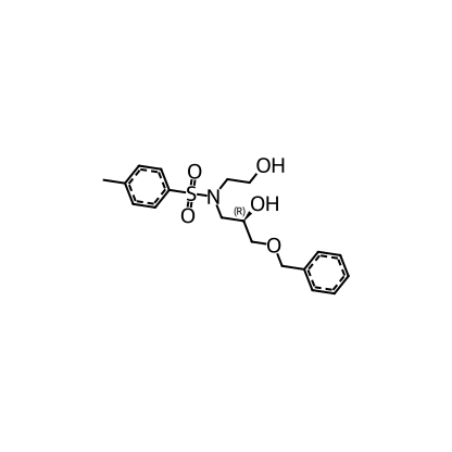 Cc1ccc(S(=O)(=O)N(CCO)C[C@@H](O)COCc2ccccc2)cc1